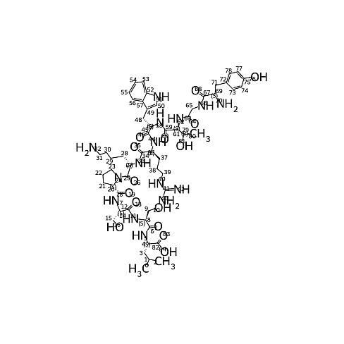 CC(C)C[C@H](NC(=O)[C@H](CO)NC(=O)[C@H](CO)NC(=O)[C@@H]1CCCN1C(=O)[C@H](CCCCN)NC(=O)[C@H](CCCNC(=N)N)NC(=O)[C@H](Cc1c[nH]c2ccccc12)NC(=O)[C@@H](NC(=O)CNC(=O)[C@@H](N)Cc1ccc(O)cc1)[C@@H](C)O)C(=O)O